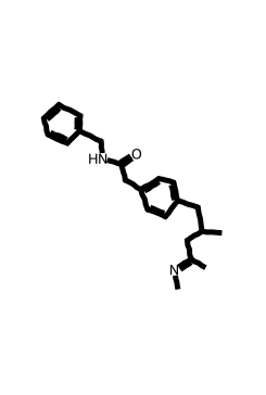 C/N=C(\C)CC(C)Cc1ccc(CC(=O)NCc2ccccc2)cc1